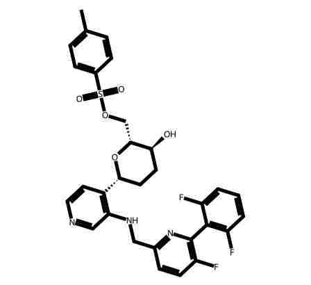 Cc1ccc(S(=O)(=O)OC[C@H]2O[C@@H](c3ccncc3NCc3ccc(F)c(-c4c(F)cccc4F)n3)CC[C@@H]2O)cc1